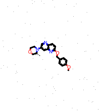 COc1ccc(COc2ccc3ncc(N4CCOC[C@H]4C)cc3n2)cc1